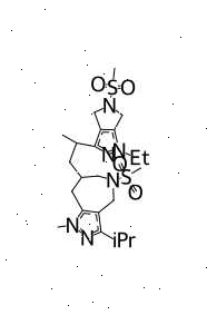 CCn1nc(C(C)CC2Cc3c(c(C(C)C)nn3C)CN(S(C)(=O)=O)C2)c2c1CN(S(C)(=O)=O)C2